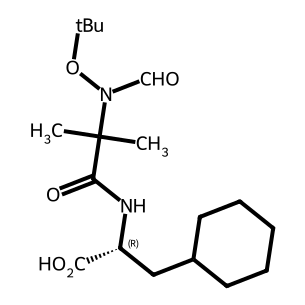 CC(C)(C)ON(C=O)C(C)(C)C(=O)N[C@H](CC1CCCCC1)C(=O)O